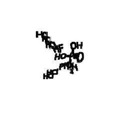 Cl.Cl.Cl.Cl.Cl.F.O=P(O)(O)O.P